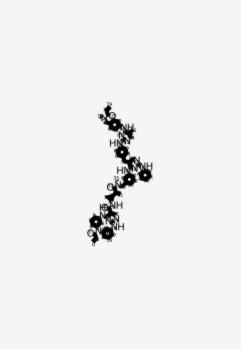 C=CC(=O)Nc1cccc(Nc2nc(Nc3ccccc3)ncc2C(=O)NC2CC2C(=C)C(=O)N(C)Cc2cccc(Nc3nc(Nc4ccccc4)ncc3Cc3ccc(Nc4ncc(C)c(Nc5ccc(CN(C)C(=O)C=C)cc5)n4)cc3)c2)c1